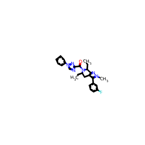 CCC1Cc2c(nn(C)c2-c2cccc(F)c2)C(CC)N1C(=O)c1ncn(-c2ccccc2)n1